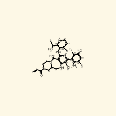 C=CC(=O)N1CCN2C(=N)c3c(Nc4c(C)ccnc4C(C)O)nc(-c4c(N)c(Cl)cc(Cl)c4F)c(Cl)c3NCC2C1